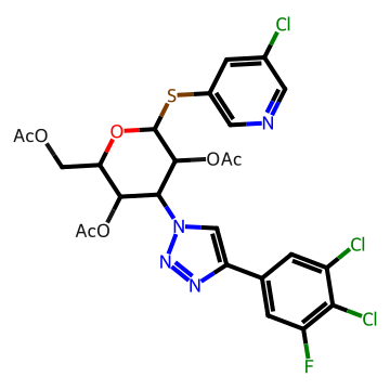 CC(=O)OCC1OC(Sc2cncc(Cl)c2)C(OC(C)=O)C(n2cc(-c3cc(F)c(Cl)c(Cl)c3)nn2)C1OC(C)=O